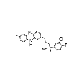 C#CC(C)(CCCc1ccc(F)c(Nc2ccc(C)cc2)c1)c1ccc(F)c(Cl)c1